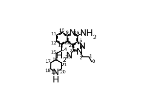 CCCn1nc2c(N)nc3cccc(CCC4CCNCC4)c3c2c1N